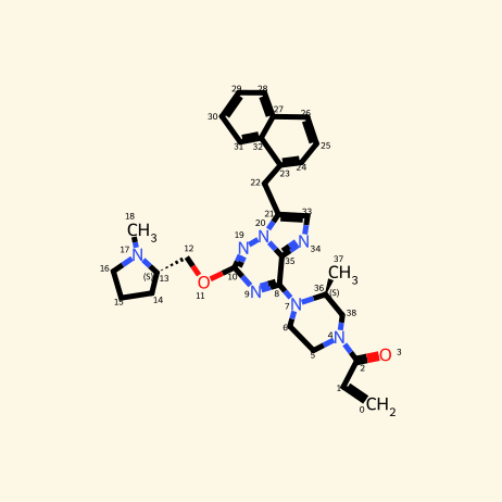 C=CC(=O)N1CCN(c2nc(OC[C@@H]3CCCN3C)nn3c(Cc4cccc5ccccc45)cnc23)[C@@H](C)C1